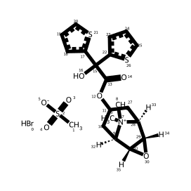 Br.CS(=O)(=O)[O-].C[N+]1(C)[C@@H]2CC(OC(=O)C(O)(c3cccs3)c3cccs3)C[C@H]1[C@@H]1O[C@@H]12